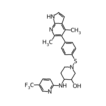 Cc1nc2[nH]ccc2c(C)c1-c1ccc(SN2CCC(Nc3ccc(C(F)(F)F)cn3)C(O)C2)cc1